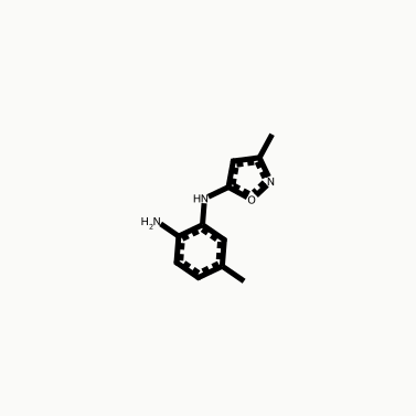 Cc1ccc(N)c(Nc2cc(C)no2)c1